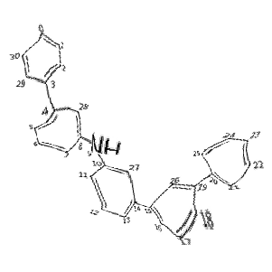 c1ccc(-c2cccc(Nc3cccc(-c4cccc(-c5ccccc5)c4)c3)c2)cc1